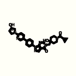 O=C(C1CC1)N1CCC(O)(Cn2cnc3c(cnn3-c3ccc(-c4ccc(N5CC[C@@H](O)C5)nc4)cc3)c2=O)CC1